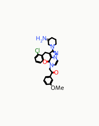 COc1cccc(C(=O)Cn2ccn3nc(N4CCC[C@@H](N)C4)c(Cc4ccccc4Cl)c3c2=O)c1